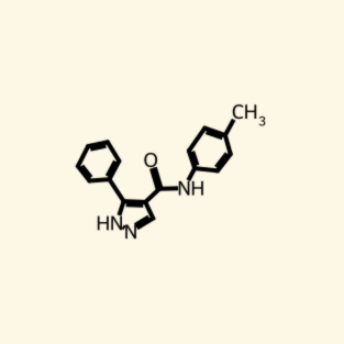 Cc1ccc(NC(=O)c2cn[nH]c2-c2ccccc2)cc1